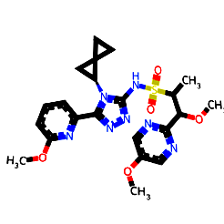 COc1cnc(C(OC)C(C)S(=O)(=O)Nc2nnc(-c3cccc(OC)n3)n2[C@H]2CC23CC3)nc1